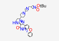 CC(C)(C)OC(=O)N1CC(CN2CC(N3CCC(C4CCNc5c(C(N)=O)c(-c6ccc(Oc7ccccc7)cc6)nn54)CC3)C2)C1